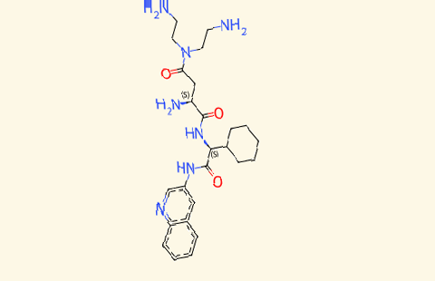 NCCN(CCN)C(=O)C[C@H](N)C(=O)N[C@H](C(=O)Nc1cnc2ccccc2c1)C1CCCCC1